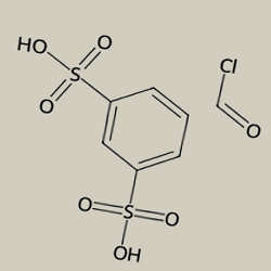 O=CCl.O=S(=O)(O)c1cccc(S(=O)(=O)O)c1